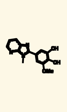 COc1cc(-c2nc3cccnc3n2C)cc(O)c1O